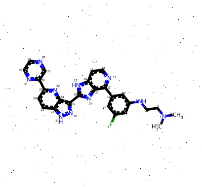 CN(C)CCNc1cc(F)cc(-c2nccc3[nH]c(-c4n[nH]c5ccc(-c6cnccn6)nc45)nc23)c1